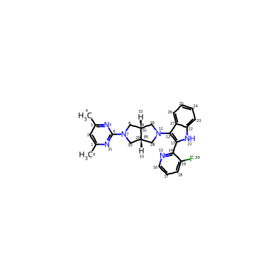 Cc1cc(C)nc(N2C[C@@H]3CN(c4c(-c5ncccc5F)[nH]c5ccccc45)C[C@@H]3C2)n1